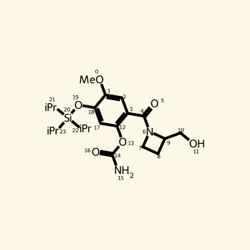 COc1cc(C(=O)N2CCC2CO)c(OC(N)=O)cc1O[Si](C(C)C)(C(C)C)C(C)C